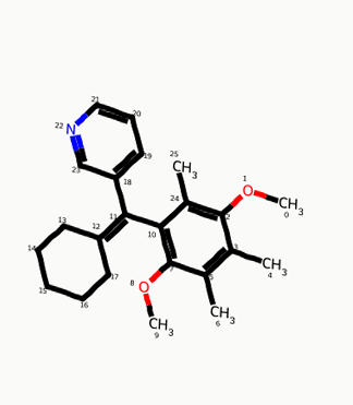 COc1c(C)c(C)c(OC)c(C(=C2CCCCC2)c2cccnc2)c1C